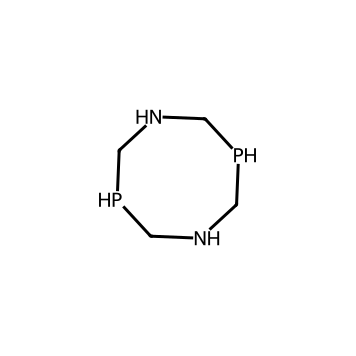 C1NCPCNCP1